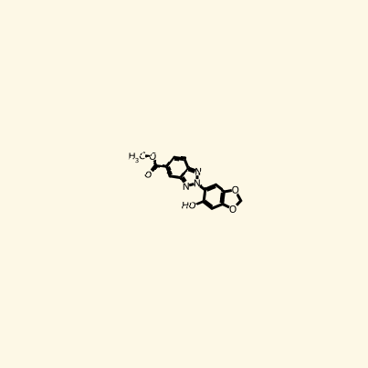 COC(=O)c1ccc2nn(-c3cc4c(cc3O)OCO4)nc2c1